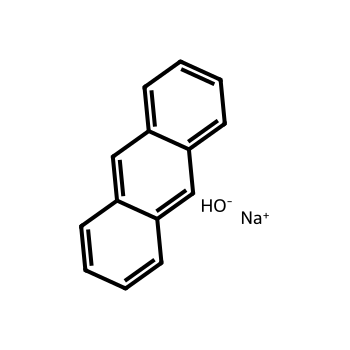 [Na+].[OH-].c1ccc2cc3ccccc3cc2c1